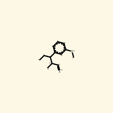 CCC(c1cccc(OC)c1)C(C)C=S